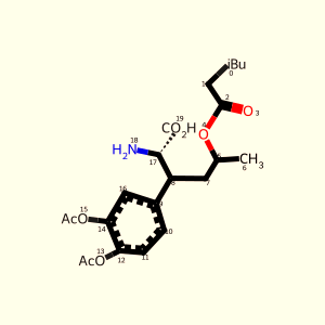 CCC(C)CC(=O)OC(C)CC(c1ccc(OC(C)=O)c(OC(C)=O)c1)[C@H](N)C(=O)O